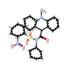 CN1c2ccccc2C(C(=O)N(c2ccccc2)S(=O)(=O)c2ccccc2[N+](=O)[O-])c2ccccc21